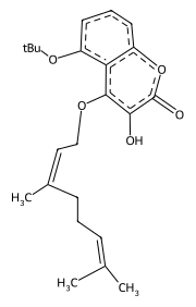 CC(C)=CCCC(C)=CCOc1c(O)c(=O)oc2cccc(OC(C)(C)C)c12